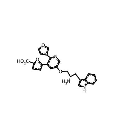 N[C@H](COc1cnc(-c2ccoc2)c(-c2ccc(C(=O)O)o2)c1)Cc1c[nH]c2ccccc12